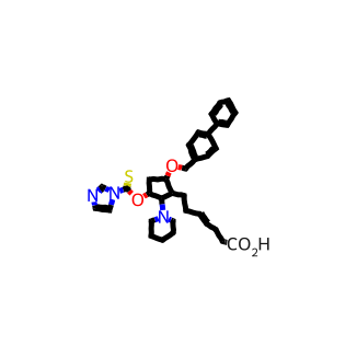 O=C(O)CCC=CCCC1C(OCc2ccc(-c3ccccc3)cc2)CC(OC(=S)n2ccnc2)C1N1CCCCC1